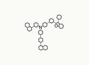 c1ccc(-c2c(-c3cccc(-c4ccc(N(c5ccc(-c6ccc(-c7cccc8ccccc78)cc6)cc5)c5cccc(-c6cccc7ccccc67)c5)cc4)c3)oc3ccccc23)cc1